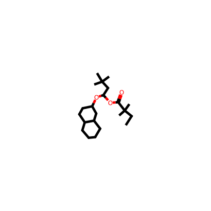 CCC(C)(C)C(=O)OC(CC(C)(C)C)OC1CCC2CCCCC2C1